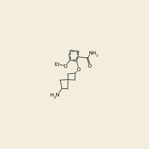 CCOc1cccc(C(N)=O)c1OC1CC2(CC(N)C2)C1